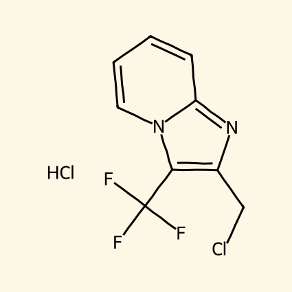 Cl.FC(F)(F)c1c(CCl)nc2ccccn12